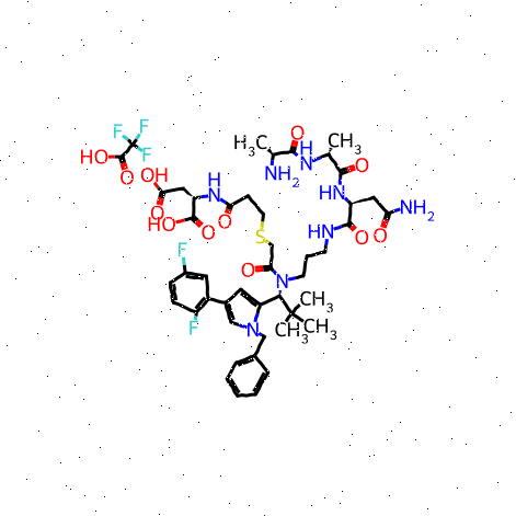 C[C@H](N)C(=O)N[C@H](C)C(=O)N[C@@H](CC(N)=O)C(=O)NCCCN(C(=O)CSCCC(=O)N[C@H](CC(=O)O)C(=O)O)[C@@H](c1cc(-c2cc(F)ccc2F)cn1Cc1ccccc1)C(C)(C)C.O=C(O)C(F)(F)F